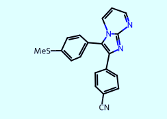 CSc1ccc(-c2c(-c3ccc(C#N)cc3)nc3ncccn23)cc1